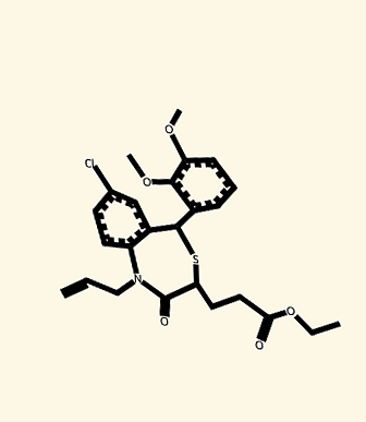 C=CCN1C(=O)C(CCC(=O)OCC)SC(c2cccc(OC)c2OC)c2cc(Cl)ccc21